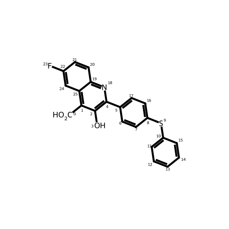 O=C(O)c1c(O)c(-c2ccc(Sc3ccccc3)cc2)nc2ccc(F)cc12